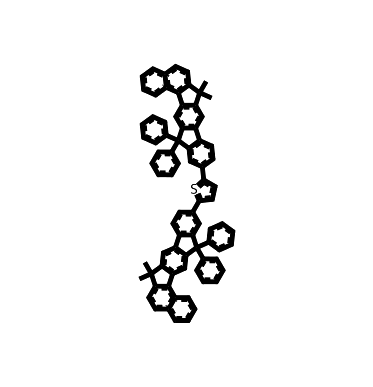 CC1(C)c2cc3c(cc2-c2c1ccc1ccccc21)C(c1ccccc1)(c1ccccc1)c1cc(-c2ccc(-c4ccc5c(c4)C(c4ccccc4)(c4ccccc4)c4cc6c(cc4-5)C(C)(C)c4ccc5ccccc5c4-6)s2)ccc1-3